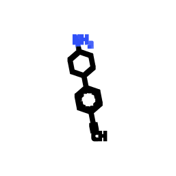 C#Cc1ccc(C2CCC(N)CC2)cc1